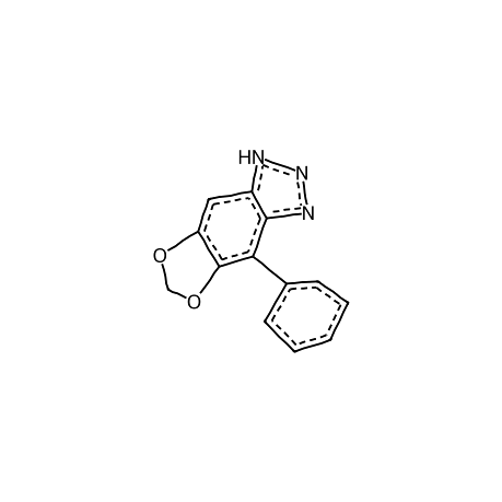 c1ccc(-c2c3c(cc4[nH]nnc24)OCO3)cc1